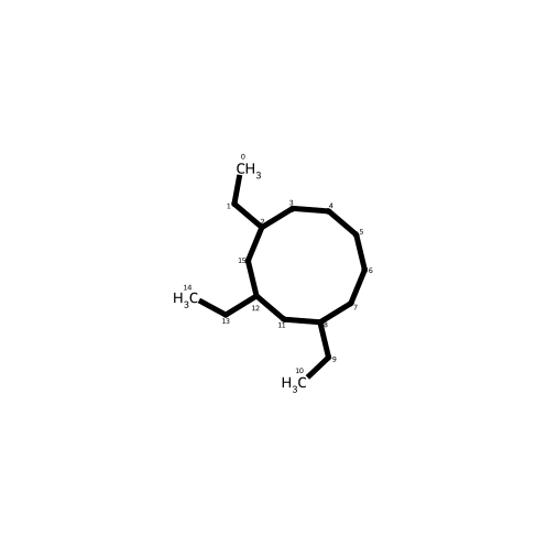 CCC1[CH]CCCCC(CC)CC(CC)C1